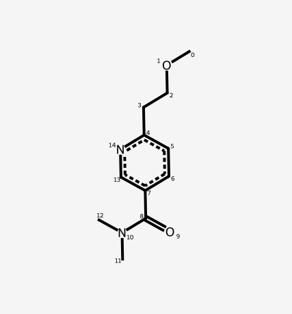 COCCc1ccc(C(=O)N(C)C)cn1